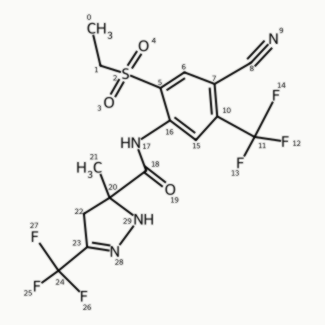 CCS(=O)(=O)c1cc(C#N)c(C(F)(F)F)cc1NC(=O)C1(C)CC(C(F)(F)F)=NN1